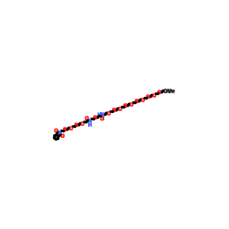 COCCOCCOCCOCCOCCOCCOCCOCCOCCOCCOCCNC(=O)CCOCCNC(=O)CCOCCOCCOCCOCCN1C(=O)c2ccccc2C1=O